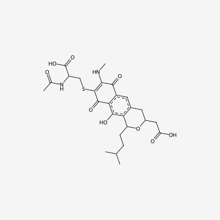 CNC1=C(SCC(NC(C)=O)C(=O)O)C(=O)c2c(cc3c(c2O)C(CCC(C)C)OC(CC(=O)O)C3)C1=O